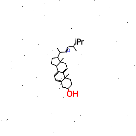 CC(C)C(C)/C=C/C(C)C1CCC2C3=CC=C4CC(O)CCC4(C)C3=CCC21C